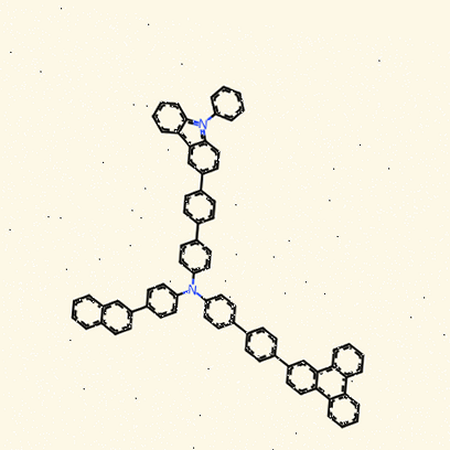 c1ccc(-n2c3ccccc3c3cc(-c4ccc(-c5ccc(N(c6ccc(-c7ccc(-c8ccc9c%10ccccc%10c%10ccccc%10c9c8)cc7)cc6)c6ccc(-c7ccc8ccccc8c7)cc6)cc5)cc4)ccc32)cc1